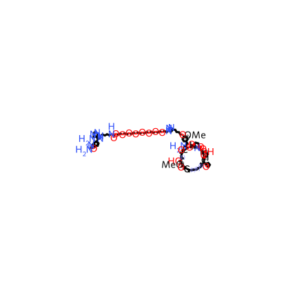 CO[C@@H]1CC(CC(N)C2CC(=O)C(C)/C=C(\C)C(O)[C@@H](OC)C(=O)C(C)CC(C)/C=C/C=C/C=C(\C)C(c3ccco3)C[C@@H]3CC[C@@H](C)[C@@](O)(O3)C(=O)C(=O)N3CCCC[C@H]3C(=O)O2)CCC1OCCCCc1cn(CCOCCOCCOCCOCCOCCOCCOCCOC(=O)NCCCCn2nc(-c3ccc4oc(N)nc4c3)c3c(N)ncnc32)nn1